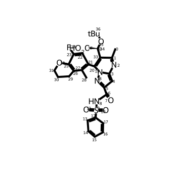 Cc1nc2cc(C(=O)NS(=O)(=O)c3ccccc3)nn2c(-c2cc(F)c3c(c2C)CCCO3)c1[C@H](OC(C)(C)C)C(=O)O